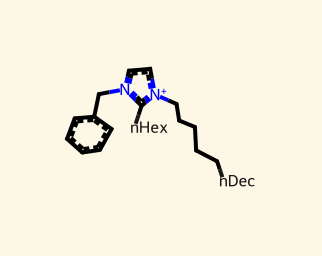 CCCCCCCCCCCCCCC[n+]1ccn(Cc2ccccc2)c1CCCCCC